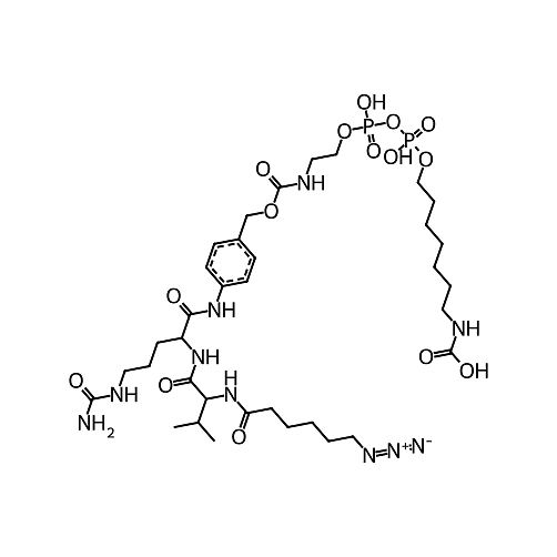 CC(C)C(NC(=O)CCCCCN=[N+]=[N-])C(=O)NC(CCCNC(N)=O)C(=O)Nc1ccc(COC(=O)NCCOP(=O)(O)OP(=O)(O)OCCCCCCCNC(=O)O)cc1